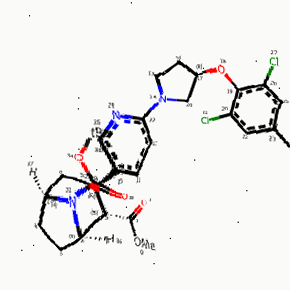 COC(=O)[C@@H]1[C@H]2CC[C@@H](C[C@H]1c1ccc(N3CC[C@@H](Oc4c(Cl)cc(C)cc4Cl)C3)nc1)N2C(=O)OC(C)(C)C